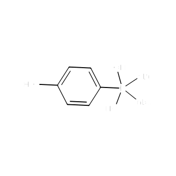 CCCCP(O)(O)(CCCC)c1ccc(C)cc1